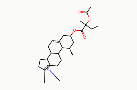 CCC(C)(OC(C)=O)C(=O)OC1CC2=CCC3C(CCC45CN(C)C(C)C4CCC35)C2[C@H](C)C1